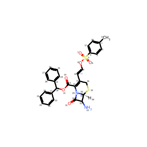 Cc1ccc(S(=O)(=O)O/C=C/C2=C(C(=O)OC(c3ccccc3)c3ccccc3)N3C(=O)C(N)[C@@H]3SC2)cc1